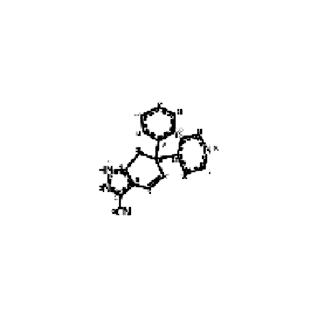 N#Cc1n[nH]c2c1C=CC(c1ccccc1)(c1ccncc1)C2